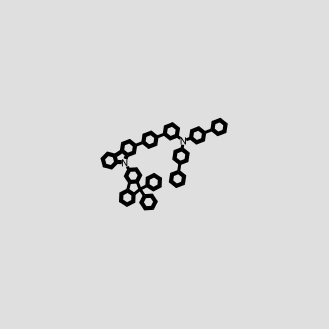 c1ccc(-c2ccc(N(c3ccc(-c4ccccc4)cc3)c3cccc(-c4ccc(-c5ccc6c7ccccc7n(-c7ccc8c(c7)-c7ccccc7C8(c7ccccc7)c7ccccc7)c6c5)cc4)c3)cc2)cc1